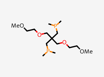 COCCOCC(COCCOC)(CP(C)C)CP(C)C